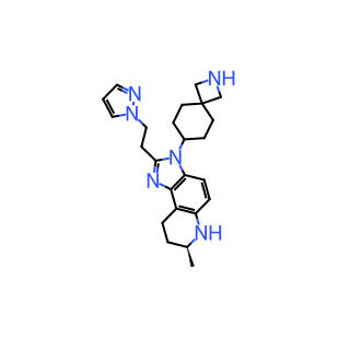 C[C@H]1CCc2c(ccc3c2nc(CCn2cccn2)n3C2CCC3(CC2)CNC3)N1